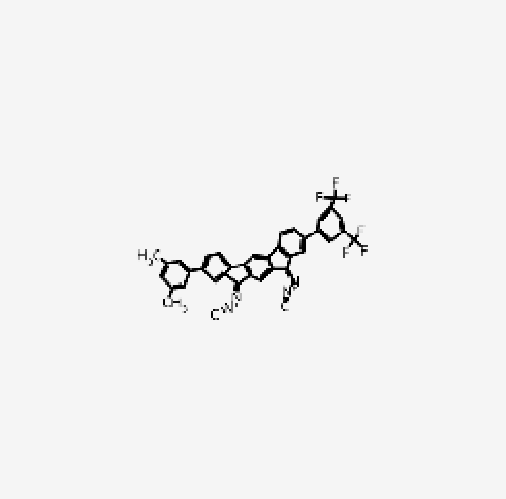 [C-]#[N+]/N=c1/c2cc(-c3cc(C(F)(F)F)cc(C(F)(F)F)c3)ccc2c2cc3c(cc12)/c(=N/[N+]#[C-])c1cc(-c2cc(C)cc(C)c2)ccc13